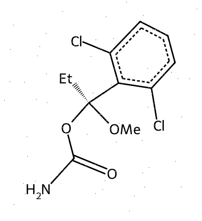 CC[C@](OC)(OC(N)=O)c1c(Cl)cccc1Cl